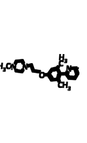 Cc1cc(OCCCN2CCN(C)CC2)cc(C)c1-c1ccc[c]n1